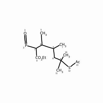 CCOC(=O)C(P=O)C(C)C(C)CC(C)(C)SC(C)=O